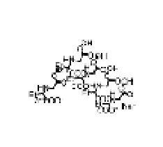 CCC(NCC(=O)OO)C(=O)[O-].CCC(NCC(=O)OO)C(=O)[O-].CCC(NCC(=O)OO)C(=O)[O-].CCC(NCC(=O)OO)C(=O)[O-].CCC(NCC(=O)OO)C(=O)[O-].[Na+].[Zr+4]